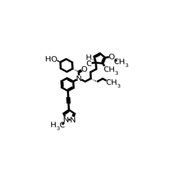 CCC[C@@H](CCC1(C)C=CC(OC)=C1C)CN(c1cccc(C#Cc2cnn(C)c2)c1)C(=O)[C@H]1CC[C@H](O)CC1